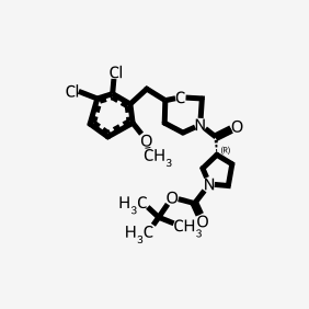 COc1ccc(Cl)c(Cl)c1CC1CCN(C(=O)[C@@H]2CCN(C(=O)OC(C)(C)C)C2)CC1